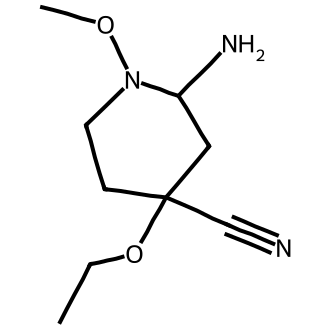 CCOC1(C#N)CCN(OC)C(N)C1